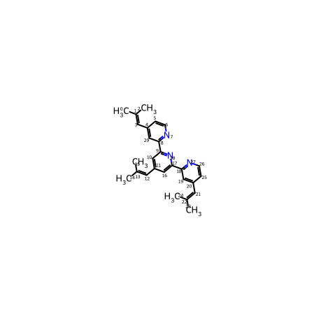 CC(C)=Cc1ccnc(-c2cc(C=C(C)C)cc(-c3cc(C=C(C)C)ccn3)n2)c1